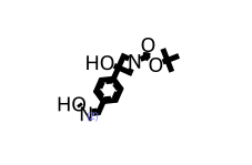 CC(C)(C)OC(=O)N1CC(O)(c2ccc(/C=N\O)cc2)C1